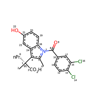 CCC[C@@](C)(C(=O)O)c1c(C)n(C(=O)c2ccc(Cl)c(Cl)c2)c2ccc(O)cc12